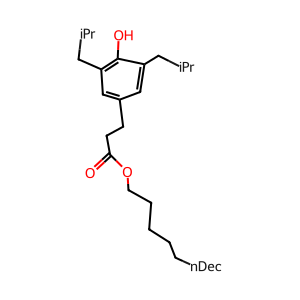 CCCCCCCCCCCCCCCOC(=O)CCc1cc(CC(C)C)c(O)c(CC(C)C)c1